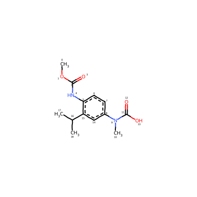 COC(=O)Nc1ccc(N(C)C(=O)O)cc1C(C)C